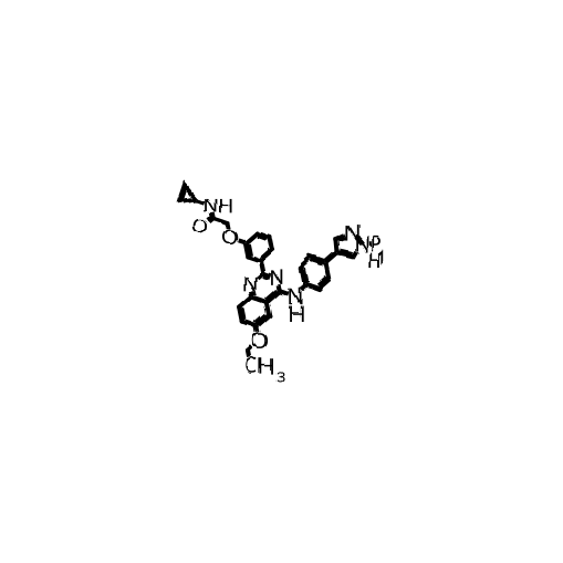 CCOc1ccc2nc(-c3cccc(OCC(=O)NC4CC4)c3)nc(Nc3ccc(-c4cnn(PI)c4)cc3)c2c1